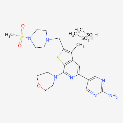 CS(=O)(=O)O.CS(=O)(=O)O.Cc1c(CN2CCN(S(C)(=O)=O)CC2)sc2c(N3CCOCC3)nc(-c3cnc(N)nc3)cc12